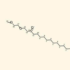 CCCCCCCCCCCC[S+]([O-])CCOCCOC